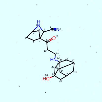 N#CC1NC2CCC1(C(=O)CCNC13CC4CC(CC(O)(C4)C1)C3)C2